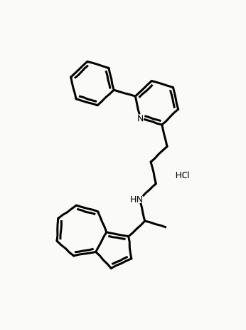 CC(NCCCc1cccc(-c2ccccc2)n1)c1ccc2cccccc1-2.Cl